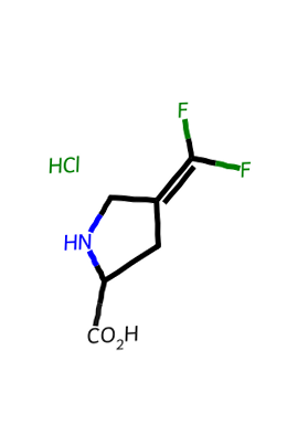 Cl.O=C(O)C1CC(=C(F)F)CN1